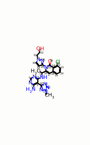 CC(Nc1ncnc(N)c1-c1nnn(C)n1)c1cc2cccc(Cl)c2c(=O)n1-c1ccn(CCO)n1